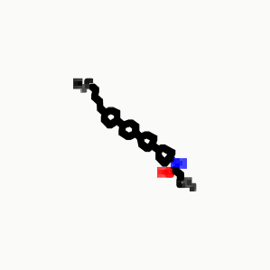 C=CC(O)NC1CCC(C2CCC(C3=CCC(C4CCC(CCCCC)CC4)CC3)CC2)CC1